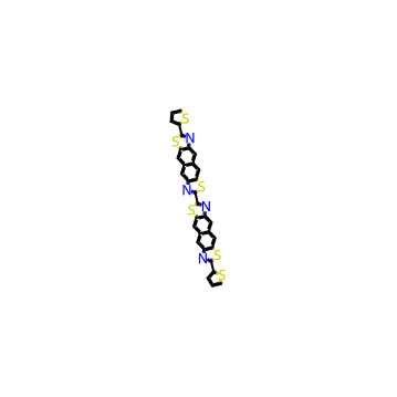 c1csc(-c2nc3cc4cc5sc(-c6nc7cc8cc9sc(-c%10cccs%10)nc9cc8cc7s6)nc5cc4cc3s2)c1